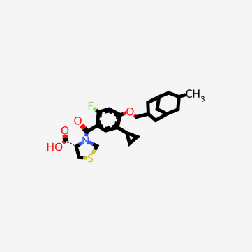 CC1CC2CC(COc3cc(F)c(C(=O)N4CSC[C@@H]4C(=O)O)cc3C3CC3)CC(C1)C2